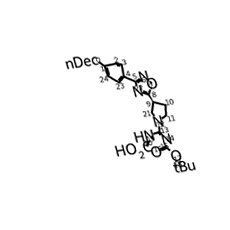 CCCCCCCCCCc1ccc(-c2noc([C@H]3CCN(/C(=N/C(=O)OC(C)(C)C)NC(=O)O)C3)n2)cc1